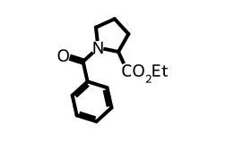 CCOC(=O)C1CCCN1C(=O)c1ccccc1